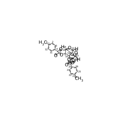 Cc1ccc(S(=O)(=O)OC2C3O[C@@H]4O[C@H]2C(OS(=O)(=O)c2ccc(C)cc2)[C@H](O4)[C@@H]3O)cc1